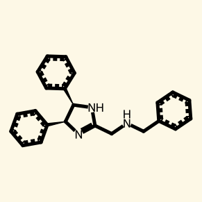 c1ccc(CNCC2=N[C@@H](c3ccccc3)[C@@H](c3ccccc3)N2)cc1